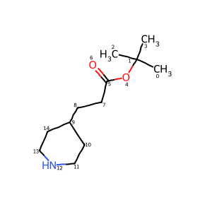 CC(C)(C)OC(=O)CCC1CCNCC1